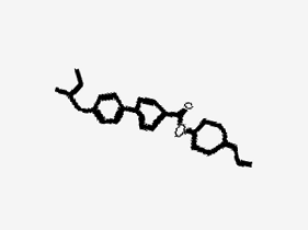 C=CCC1CCC(OC(=O)c2ccc(-c3ccc(CC(C)CC)cc3)cc2)CC1